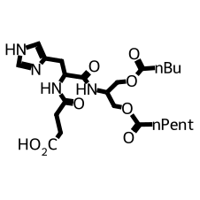 CCCCCC(=O)OCC(COC(=O)CCCC)NC(=O)C(Cc1c[nH]cn1)NC(=O)CCC(=O)O